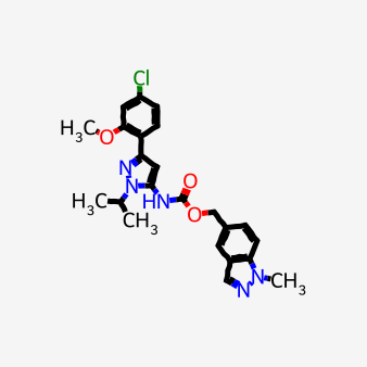 COc1cc(Cl)ccc1-c1cc(NC(=O)OCc2ccc3c(cnn3C)c2)n(C(C)C)n1